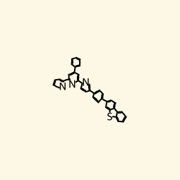 c1ccc(-c2cc(-c3ccccn3)nc(-c3ccc(-c4ccc(-c5ccc6c(c5)sc5ccccc56)cc4)cn3)c2)cc1